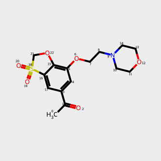 CC(=O)c1cc(OCCN2CCOCC2)c2c(c1)S(=O)(=O)CO2